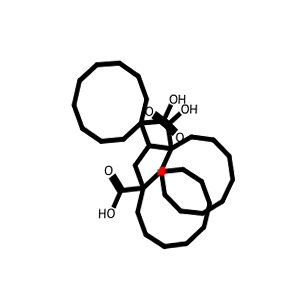 O=C(O)C1(CC(C2(C(=O)O)CCCCCCCCC2)C2(C(=O)O)CCCCCCCCC2)CCCCCCCCC1